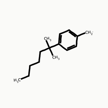 [CH2]c1ccc(C(C)(C)CCCCC)cc1